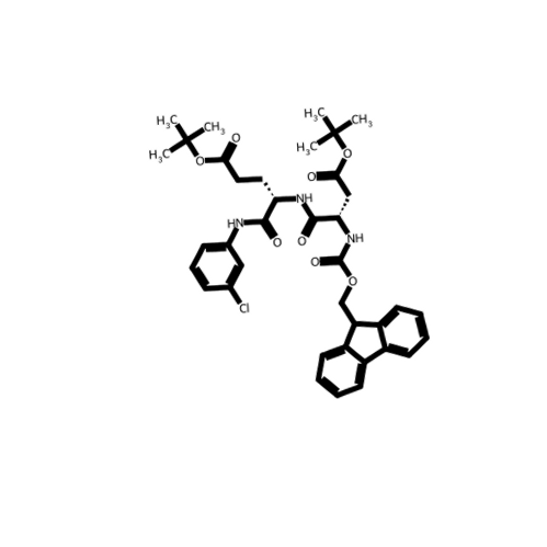 CC(C)(C)OC(=O)CC[C@H](NC(=O)[C@H](CC(=O)OC(C)(C)C)NC(=O)OCC1c2ccccc2-c2ccccc21)C(=O)Nc1cccc(Cl)c1